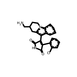 NCC1CCn2c(c(C3=C(c4ccccc4Cl)C(=O)NC3=O)c3ccccc32)C1